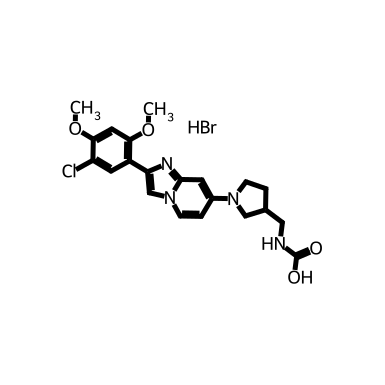 Br.COc1cc(OC)c(-c2cn3ccc(N4CCC(CNC(=O)O)C4)cc3n2)cc1Cl